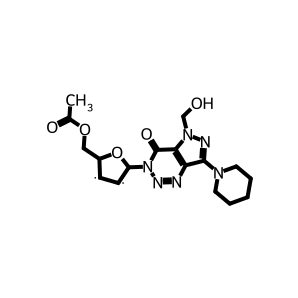 CC(=O)OCC1[CH][CH]C(n2nnc3c(N4CCCCC4)nn(CO)c3c2=O)O1